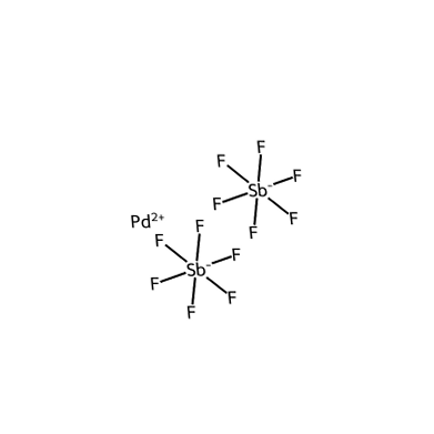 [F][Sb-]([F])([F])([F])([F])[F].[F][Sb-]([F])([F])([F])([F])[F].[Pd+2]